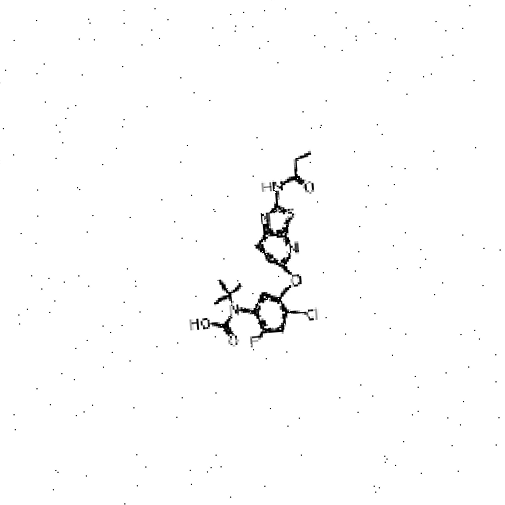 CCC(=O)Nc1nc2ccc(Oc3cc(N(C(=O)O)C(C)(C)C)c(F)cc3Cl)nc2s1